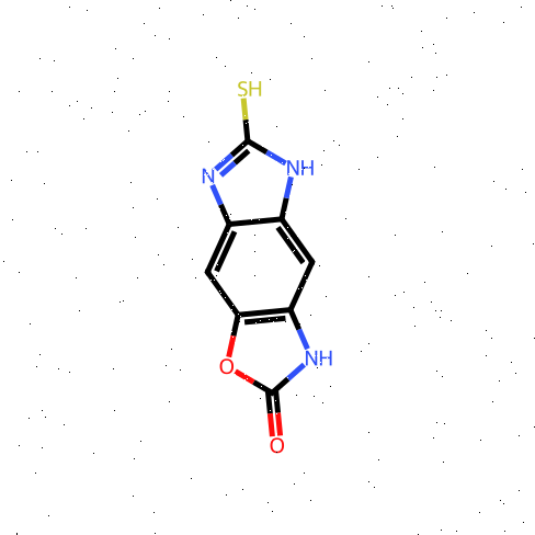 O=c1[nH]c2cc3[nH]c(S)nc3cc2o1